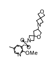 COc1ncc(C)cc1S(=O)(=O)N1CC2(CC(N3CC4(COC4)C3)CO2)C1